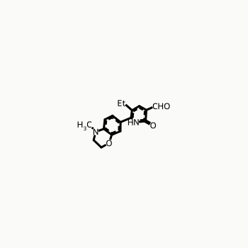 CCc1cc(C=O)c(=O)[nH]c1-c1ccc2c(c1)OCCN2C